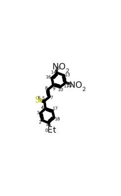 CCc1ccc(C(=S)C=Cc2cc([N+](=O)[O-])cc([N+](=O)[O-])c2)cc1